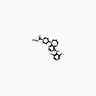 CC(C)(C)OC(=O)N1CCC(N2CCCOc3c(Nc4c(F)cncc4F)ncnc32)CC1